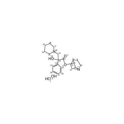 Cl.Cl.O=C(OC1CN2CCC1CC2)C(O)(CN1CCCCC1)c1ccccc1